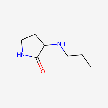 CCCNC1CCNC1=O